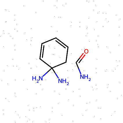 NC1(N)C=CC=CC1.NC=O